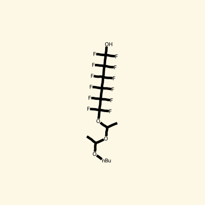 CCCCOC(C)OC(C)OC(F)(F)C(F)(F)C(F)(F)C(F)(F)C(F)(F)C(O)(F)F